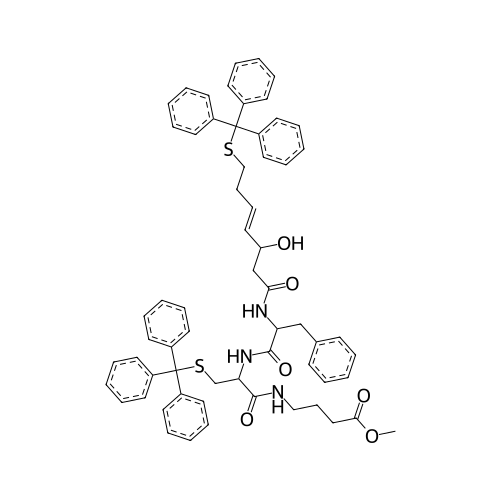 COC(=O)CCCNC(=O)C(CSC(c1ccccc1)(c1ccccc1)c1ccccc1)NC(=O)C(Cc1ccccc1)NC(=O)CC(O)C=CCCSC(c1ccccc1)(c1ccccc1)c1ccccc1